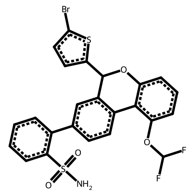 NS(=O)(=O)c1ccccc1-c1ccc2c(c1)C(c1ccc(Br)s1)Oc1cccc(OC(F)F)c1-2